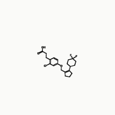 O=C(O)CCc1ccc(OCC2=C(C3CCC(F)(F)CC3)CCC2)cc1Cl